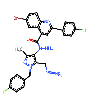 Cc1nn(Cc2ccc(F)cc2)c(CN=[N+]=[N-])c1N(N)C(=O)c1cc(-c2ccc(Cl)cc2)nc2ccc(Br)cc12